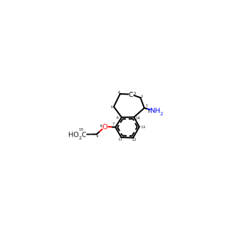 NC1CCCCc2c(OCC(=O)O)cccc21